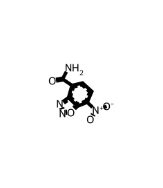 NC(=O)c1ccc([N+](=O)[O-])c2onnc12